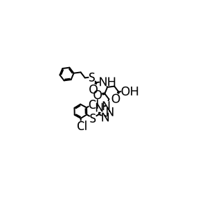 O=C(O)CC(NC(=O)SCCc1ccccc1)C(=O)Cn1nnc(Sc2c(Cl)cccc2Cl)n1